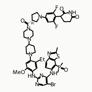 CCc1cc(Nc2ncc(Br)c(Nc3ccc4nc(C)sc4c3P(C)(C)=O)n2)c(OC)cc1N1CCC(N2CCN(C(=O)[C@@H]3CCN(c4cc(F)c(C5CCC(=O)NC5=O)c(F)c4)C3)CC2)CC1